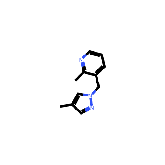 Cc1cnn(Cc2cccnc2C)c1